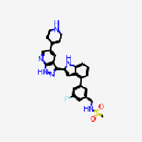 CS(=O)(=O)NCc1cc(F)cc(-c2cccc3[nH]c(-c4n[nH]c5ncc(C6CCNCC6)cc45)cc23)c1